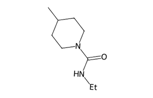 [CH2]CNC(=O)N1CCC(C)CC1